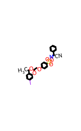 CC(OC(=O)COc1ccc(S(=O)(=O)O/N=C(\C#N)c2ccccc2)cc1)c1ccc(I)cc1